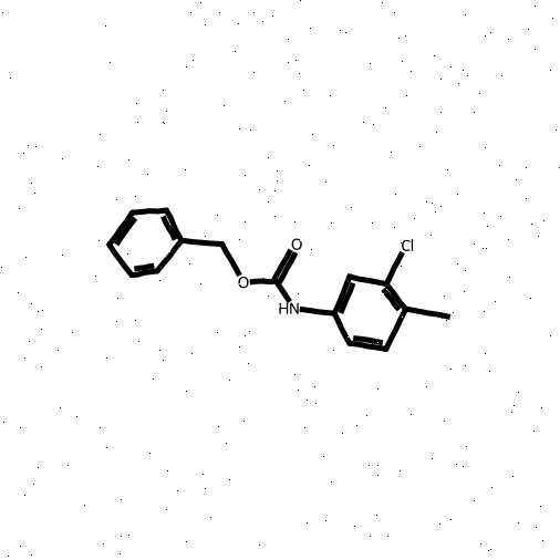 Cc1ccc(NC(=O)OCc2ccccc2)cc1Cl